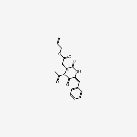 C=CCOC(=O)C[C@H]1C(=O)NC(=Cc2ccccc2)C(=O)N1C(C)=O